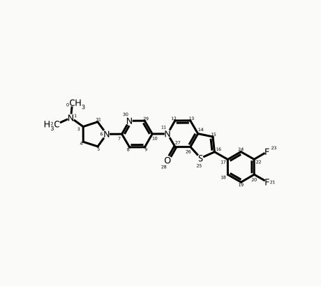 CN(C)C1CCN(c2ccc(-n3ccc4cc(-c5ccc(F)c(F)c5)sc4c3=O)cn2)C1